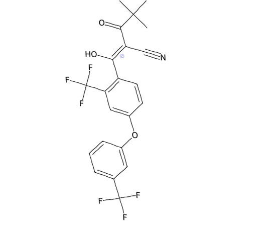 CC(C)(C)C(=O)/C(C#N)=C(\O)c1ccc(Oc2cccc(C(F)(F)F)c2)cc1C(F)(F)F